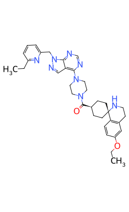 CCOc1ccc2c(c1)CCN[C@]21CC[C@H](C(=O)N2CCN(c3ncnc4c3cnn4Cc3cccc(CC)n3)CC2)CC1